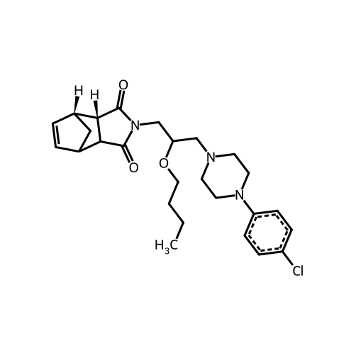 CCCCOC(CN1CCN(c2ccc(Cl)cc2)CC1)CN1C(=O)C2C3C=C[C@@H](C3)[C@@H]2C1=O